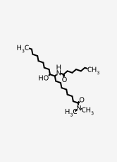 CCCCCCCCC(O)C(CCCCCCCC(=O)N(C)C)NC(=O)CCCCCC